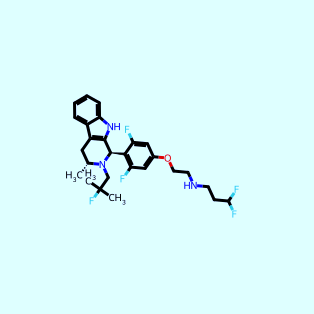 C[C@@H]1Cc2c([nH]c3ccccc23)[C@@H](c2c(F)cc(OCCNCCC(F)F)cc2F)N1CC(C)(C)F